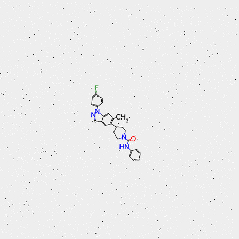 Cc1cc2c(cnn2-c2ccc(F)cc2)cc1C1CCN(C(=O)Nc2ccccc2)CC1